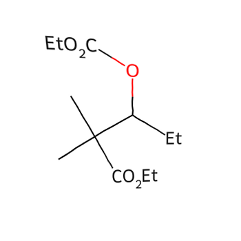 CCOC(=O)OC(CC)C(C)(C)C(=O)OCC